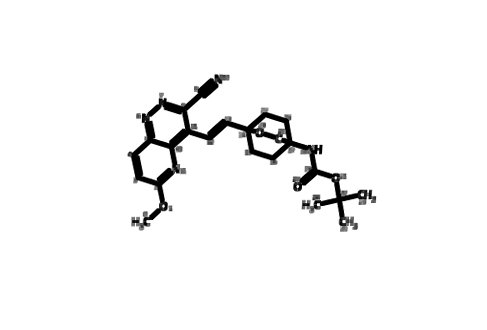 COc1ccc2nnc(C#N)c(C=CC34CCC(NC(=O)OC(C)(C)C)(CC3)CO4)c2n1